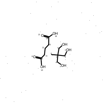 CC(CO)(CO)CO.O=C(O)CCCC(=O)O